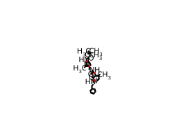 Cc1ccn(NCCc2ccccc2)c(=O)c1CC(=O)NCc1ccc(NC(=O)OC(C)(C)C)nc1C